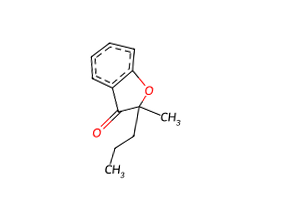 CCCC1(C)Oc2ccccc2C1=O